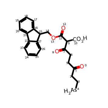 O=C(CC[AsH2])CCC(=O)C(C(=O)O)C(=O)OCC1c2ccccc2-c2ccccc21